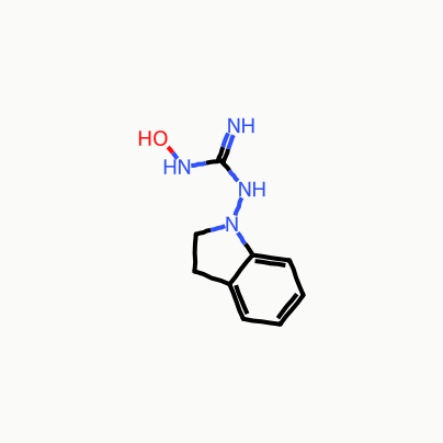 N=C(NO)NN1CCc2ccccc21